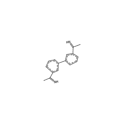 CC(=N)c1cccc(-c2cccc(C(C)=N)c2)c1